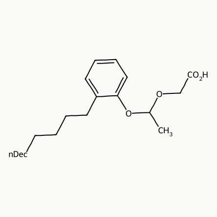 CCCCCCCCCCCCCCc1ccccc1OC(C)OCC(=O)O